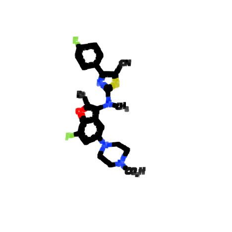 CCc1oc2c(F)cc(N3CCN(C(=O)O)CC3)cc2c1N(C)c1nc(-c2ccc(F)cc2)c(C#N)s1